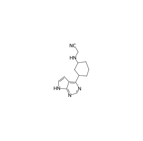 N#CCNC1CCCC(c2ncnc3[nH]ccc23)C1